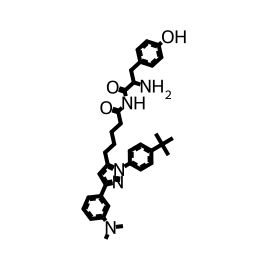 CN(C)c1cccc(-c2cc(CCCCC(=O)NC(=O)C(N)Cc3ccc(O)cc3)n(-c3ccc(C(C)(C)C)cc3)n2)c1